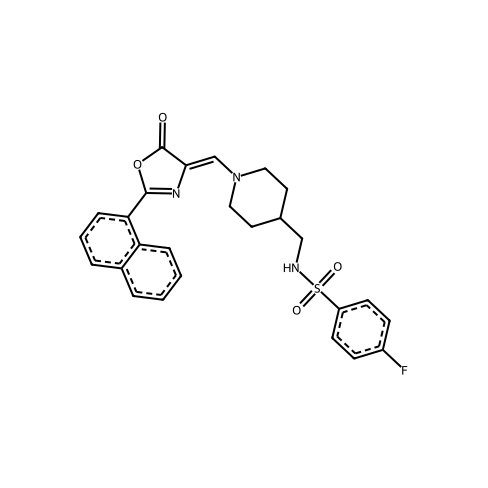 O=C1OC(c2cccc3ccccc23)=NC1=CN1CCC(CNS(=O)(=O)c2ccc(F)cc2)CC1